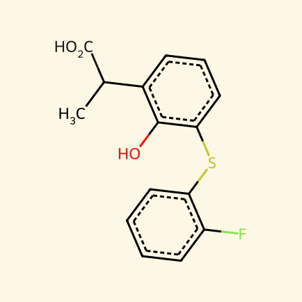 CC(C(=O)O)c1cccc(Sc2ccccc2F)c1O